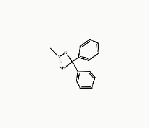 CCCC(O[SiH2]C)(c1ccccc1)c1ccccc1